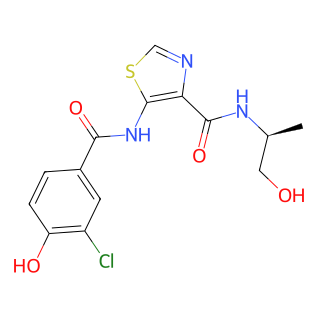 C[C@@H](CO)NC(=O)c1ncsc1NC(=O)c1ccc(O)c(Cl)c1